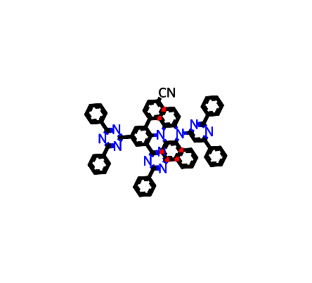 N#Cc1ccc(-c2cc(-c3nc(-c4ccccc4)nc(-c4ccccc4)n3)cc(-c3nc(-c4ccccc4)nc(-c4ccccc4)n3)c2N2c3ccccc3N(c3cc(-c4ccccc4)nc(-c4ccccc4)n3)c3ccccc32)cc1